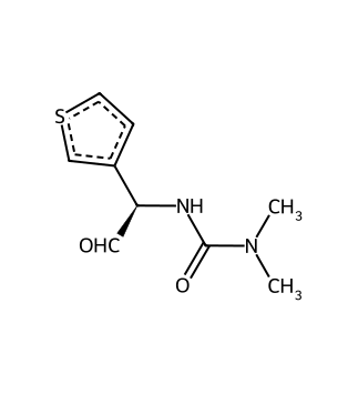 CN(C)C(=O)N[C@@H](C=O)c1ccsc1